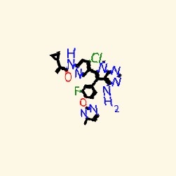 C=C(C(=O)Nc1cc(Cl)c(-c2c(-c3ccc(Oc4nccc(C)n4)c(F)c3)c3c(N)ncnc3n2C)cn1)C1CC1